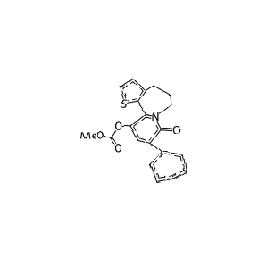 COC(=O)Oc1cc(-c2ccccc2)c(=O)n2c1-c1sccc1CCC2